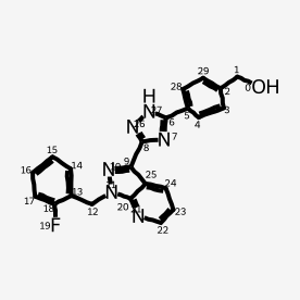 OCc1ccc(-c2nc(-c3nn(Cc4ccccc4F)c4ncccc34)n[nH]2)cc1